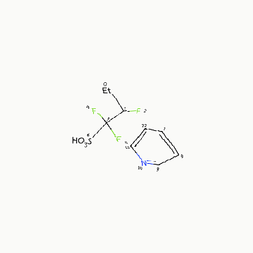 CCC(F)C(F)(F)S(=O)(=O)O.c1ccncc1